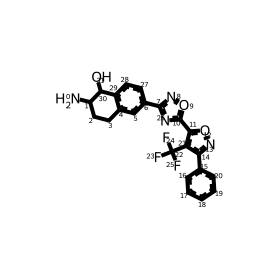 NC1CCc2cc(-c3noc(-c4onc(-c5ccccc5)c4C(F)(F)F)n3)ccc2C1O